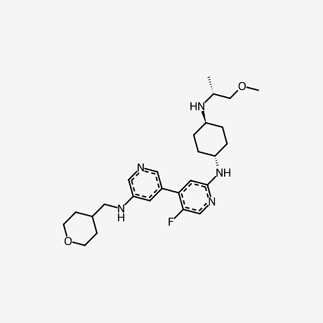 COC[C@@H](C)N[C@H]1CC[C@H](Nc2cc(-c3cncc(NCC4CCOCC4)c3)c(F)cn2)CC1